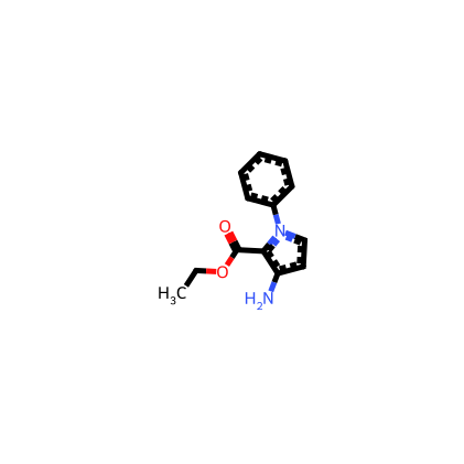 CCOC(=O)c1c(N)ccn1-c1ccccc1